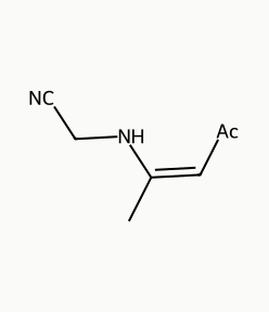 CC(=O)C=C(C)NCC#N